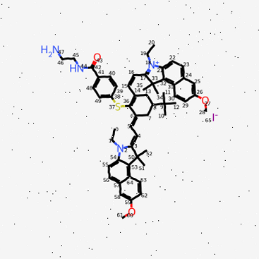 CCN1C(=CC=C2CC(C(C)(C)C)CC(C=CC3=[N+](CC)c4ccc5cc(OC)ccc5c4C3(C)C)=C2Sc2ccc(C(=O)NCCN)cc2)C(C)(C)c2c1ccc1cc(OC)ccc21.[I-]